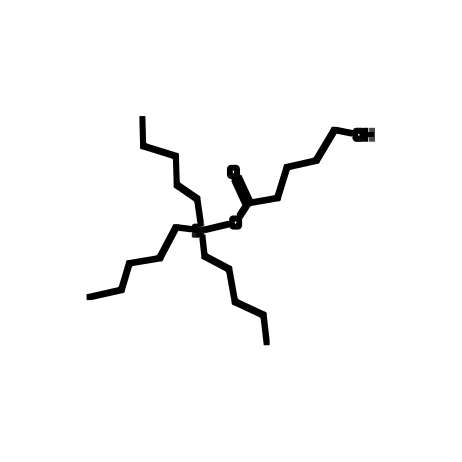 CCCCC[Si](CCCCC)(CCCCC)OC(=O)CCCCO